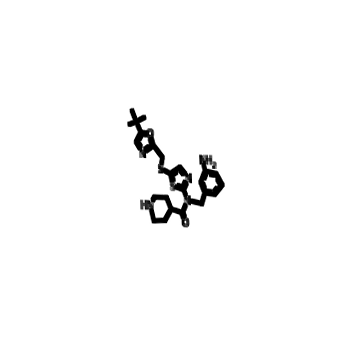 CC(C)(C)c1cnc(CSc2cnc(N(Cc3cccc(N)c3)C(=O)C3CCNCC3)s2)o1